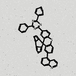 c1ccc(-c2nc(-c3ccccc3)nc(-c3ccc4c(c3)C3(c5cc(-c6cccc7ncccc67)ccc5S4)c4ccccc4-c4ccccc43)n2)cc1